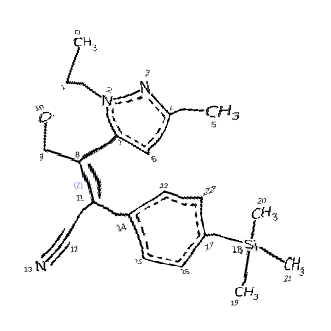 CCn1nc(C)cc1/C(C[O])=C(/C#N)c1ccc([Si](C)(C)C)cc1